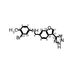 Cc1ccc(NCc2ccc3c(-c4nn[nH]n4)coc3c2)cc1Br